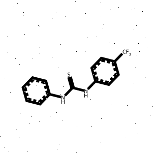 FC(F)(F)c1ccc(NC(=S)Nc2ccccc2)cc1